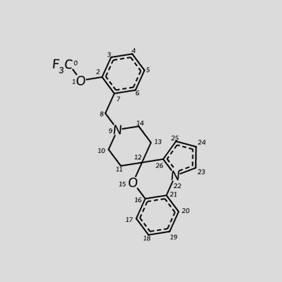 FC(F)(F)Oc1ccccc1CN1CCC2(CC1)Oc1ccccc1-n1cccc12